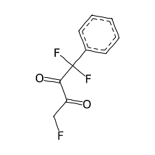 O=C(CF)C(=O)C(F)(F)c1ccccc1